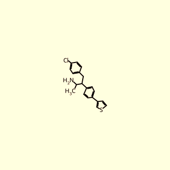 CC(N)C(Cc1ccc(Cl)cc1)c1ccc(-c2ccsc2)cc1